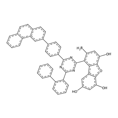 Bc1cc(O)c2oc3c(O)cc(O)cc3c2c1-c1nc(-c2ccc(-c3ccc4ccc5ccccc5c4c3)cc2)nc(-c2ccccc2-c2ccccc2)n1